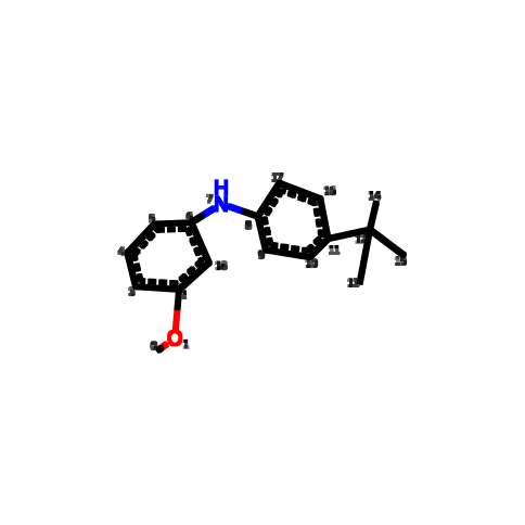 COc1cccc(Nc2ccc(C(C)(C)C)cc2)c1